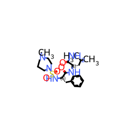 CC(C)C[C@H](NC(=O)[C@H](Cc1ccccc1)NS(=O)(=O)N1CCCN(C)CC1)C(N)=O